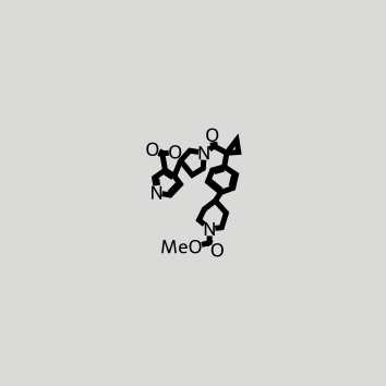 COC(=O)N1CCC(c2ccc(C3(C(=O)N4CCC5(C4)OC(=O)c4cnccc45)CC3)cc2)CC1